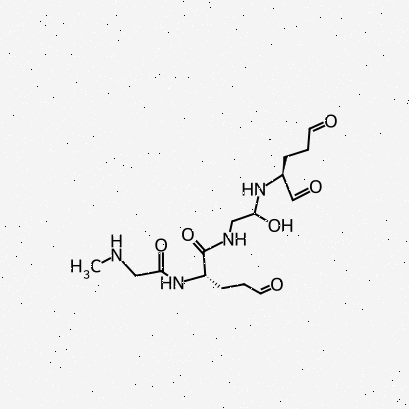 CNCC(=O)N[C@@H](CCC=O)C(=O)NCC(O)N[C@H](C=O)CCC=O